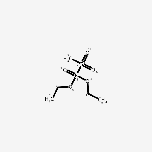 CCOP(=O)(OCC)S(C)(=O)=O